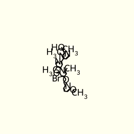 COc1cccc(COc2cc(C)n(-c3cc(-c4ccnc(C(C)(C)O)n4)ncc3C)c(=O)c2Br)n1